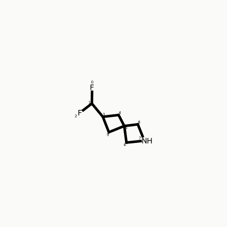 FC(F)C1CC2(CNC2)C1